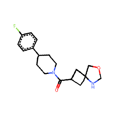 O=C(C1CC2(COCN2)C1)N1CCC(c2ccc(F)cc2)CC1